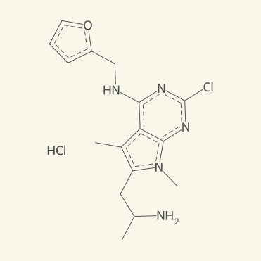 Cc1c(CC(C)N)n(C)c2nc(Cl)nc(NCc3ccco3)c12.Cl